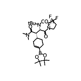 CN(C)C(=O)[C@@H](C1CC=C(B2OC(C)(C)C(C)(C)O2)CC1)[C@@H](C(=O)N1CCC(F)(F)C1)N(C(=O)O)C(C)(C)C